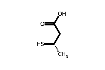 C[C@H](S)CC(=O)O